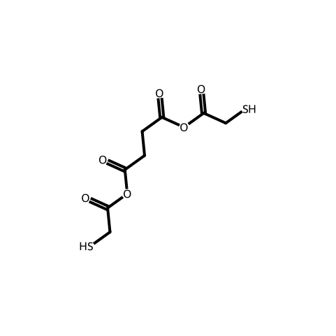 O=C(CS)OC(=O)CCC(=O)OC(=O)CS